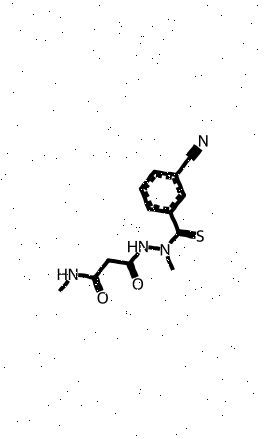 CNC(=O)CC(=O)NN(C)C(=S)c1cccc(C#N)c1